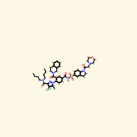 CCCCN(CCCC)C(=O)c1nn(-c2ccc(C(=O)NS(=O)(=O)c3ccc4c(c3)CCN4C(=O)CN3CCOCC3)cc2C(=O)N2CCc3ccccc3C2)c(C)c1Cl